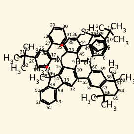 CC(C)(C)c1ccc(N2B3c4c(cc5c(c4N(c4ccc(C(C)(C)C)cc4-c4ccccc4)c4ccc6sc7ccccc7c6c43)C(C)(C)c3ccccc3-5)-c3cc4c(cc32)C(C)(C)CCC4(C)C)cc1